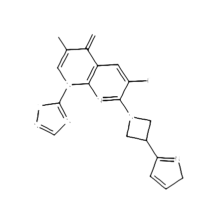 O=C(O)c1cn(-c2ncns2)c2nc(N3CC(C4=NCC=C4)C3)c(F)cc2c1=O